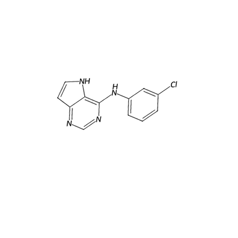 Clc1cccc(Nc2ncnc3cc[nH]c23)c1